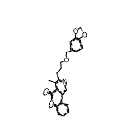 Cc1c(CCCOCc2ccc3c(c2)OCO3)ncc2c1c(=O)oc1ccccc12